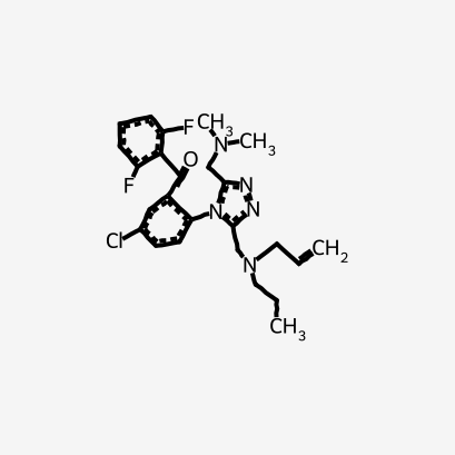 C=CCN(CCC)Cc1nnc(CN(C)C)n1-c1ccc(Cl)cc1C(=O)c1c(F)cccc1F